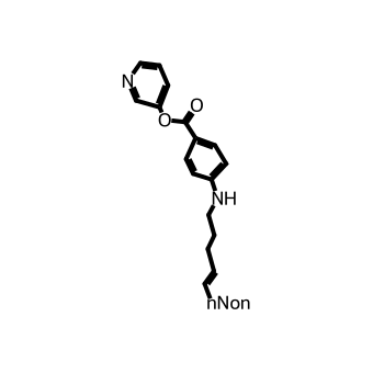 CCCCCCCCCC=CCCCNc1ccc(C(=O)Oc2cccnc2)cc1